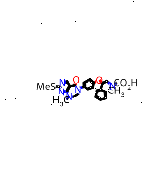 CSc1ncc2c(n1)N(C)CCN(c1ccc(OC(CN(C)C(=O)O)c3ccccc3)cc1)C2=O